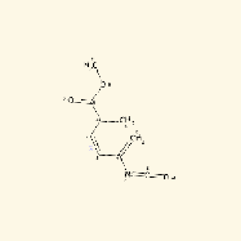 C=C(/C=C\C(=C)C(=O)OC)N=C=O